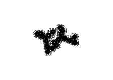 c1ccc(-c2ccc(N(c3ccc(-c4ccc(-c5ccccc5)c(-c5cccc(-c6cccc7c(-c8ccc(N(c9ccc(-c%10ccc(-c%11ccccc%11)c(-c%11ccccc%11)c%10)cc9)c9ccc%10c(ccc%11ccccc%11%10)c9)cc8)cccc67)c5)c4)cc3)c3ccc4c(ccc5ccccc54)c3)cc2)cc1